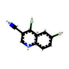 N#Cc1cnc2ccc(Cl)cc2c1Cl